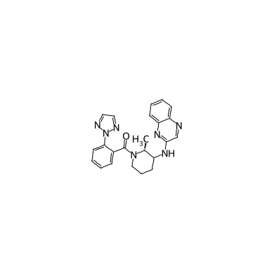 C[C@H]1C(Nc2cnc3ccccc3n2)CCCN1C(=O)c1ccccc1-n1nccn1